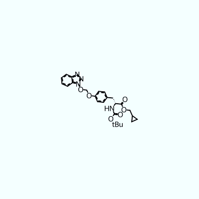 CC(C)(C)OC(=O)N[C@H](Cc1ccc(OCOn2nnc3ccccc32)cc1)C(=O)OCC1CC1